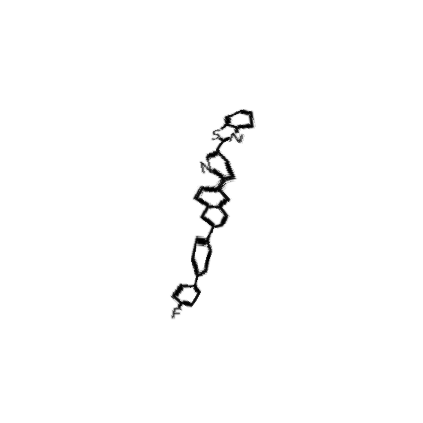 Fc1ccc(-c2ccc(-c3ccc4cc(-c5ccc(-c6nc7ccccc7s6)cn5)ccc4c3)cc2)cc1